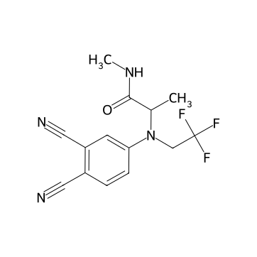 CNC(=O)C(C)N(CC(F)(F)F)c1ccc(C#N)c(C#N)c1